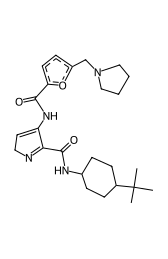 CC(C)(C)C1CCC(NC(=O)C2=NCC=C2NC(=O)c2ccc(CN3CCCC3)o2)CC1